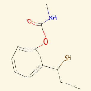 CCC(S)c1ccccc1OC(=O)NC